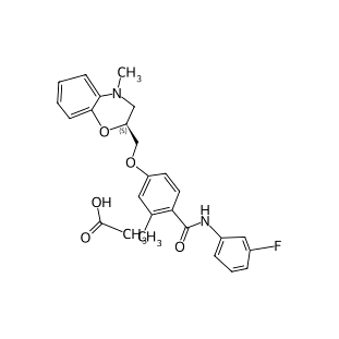 CC(=O)O.Cc1cc(OC[C@@H]2CN(C)c3ccccc3O2)ccc1C(=O)Nc1cccc(F)c1